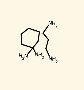 NC1(N)CCCCC1.NCCCN